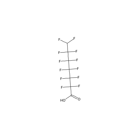 O=C(O)C(F)(F)C(F)(F)C(F)(F)C(F)(F)C(F)(F)C(F)F